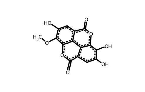 COc1c(O)cc2c(=O)oc3c(O)c(O)cc4c(=O)oc1c2c34